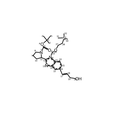 CC(C)(C)OC(=O)N1CCCC1c1nc2cc(/C=C/CO)ccc2n1COCC[Si](C)(C)C